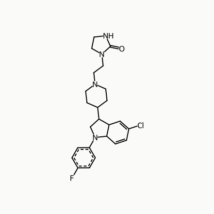 O=C1NCCN1CCN1CCC(C2CN(c3ccc(F)cc3)C3C=CC(Cl)=CC23)CC1